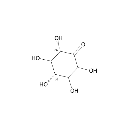 O=C1C(O)C(O)[C@H](O)C(O)[C@@H]1O